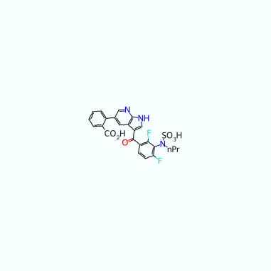 CCCN(c1c(F)ccc(C(=O)c2c[nH]c3ncc(-c4ccccc4C(=O)O)cc23)c1F)S(=O)(=O)O